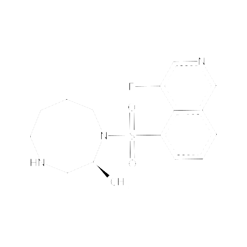 C[C@H]1CNCCCCN1S(=O)(=O)c1cccc2cncc(F)c12